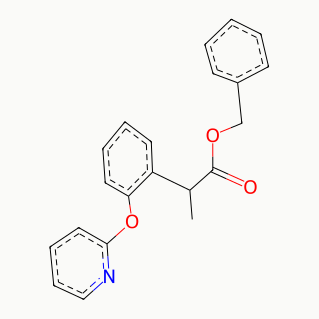 CC(C(=O)OCc1ccccc1)c1ccccc1Oc1ccccn1